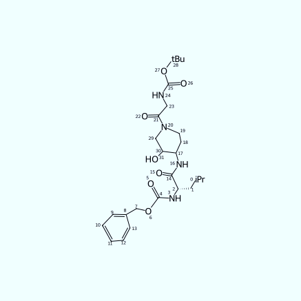 CC(C)C[C@H](NC(=O)OCc1ccccc1)C(=O)NC1CCN(C(=O)CNC(=O)OC(C)(C)C)CC1O